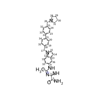 C/C(=N/C(=N)C(N)=O)Nc1ccc2c(ccn2Cc2ccc(-c3ccc(CN4CCCC4)cc3)cc2)c1